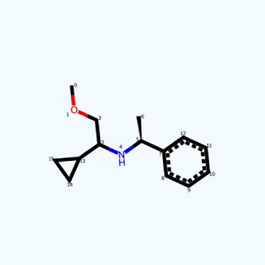 COCC(N[C@@H](C)c1ccccc1)C1CC1